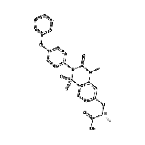 C[C@@H](Oc1ccc2c(c1)N(C)C(=O)N(c1ccc(Oc3ccccc3)cc1)S2(=O)=O)C(=O)O